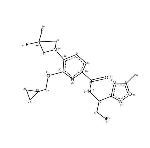 Cc1nc(C(CC(C)C)NC(=O)c2ccc(N3CC(F)(F)C3)c(OCC3CC3)n2)no1